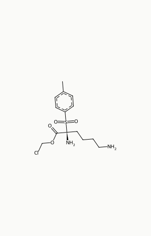 Cc1ccc(S(=O)(=O)[C@](N)(CCCCN)C(=O)OCCl)cc1